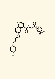 O=C(NCC(=O)N1CCC(F)(F)C1)c1ccnc2ccc(OCCCN3CCNCC3)cc12